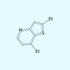 CCc1cc2nccc(CC)c2s1